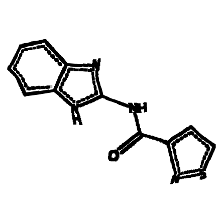 O=C(Nc1nc2ccccc2[nH]1)c1ccsn1